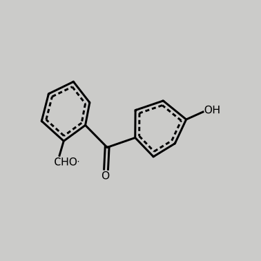 O=[C]c1ccccc1C(=O)c1ccc(O)cc1